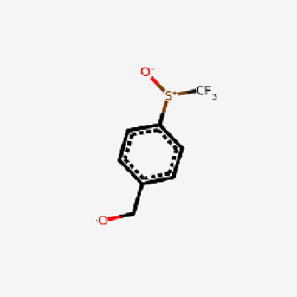 [O]Cc1ccc([S+]([O-])C(F)(F)F)cc1